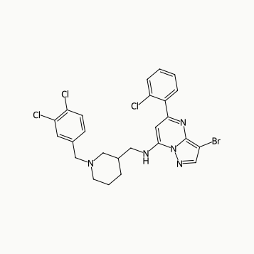 Clc1ccc(CN2CCCC(CNc3cc(-c4ccccc4Cl)nc4c(Br)cnn34)C2)cc1Cl